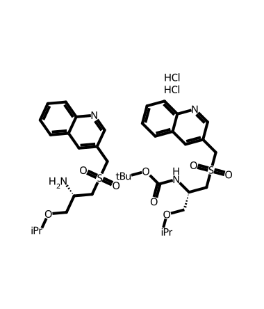 CC(C)OC[C@@H](CS(=O)(=O)Cc1cnc2ccccc2c1)NC(=O)OC(C)(C)C.CC(C)OC[C@H](N)CS(=O)(=O)Cc1cnc2ccccc2c1.Cl.Cl